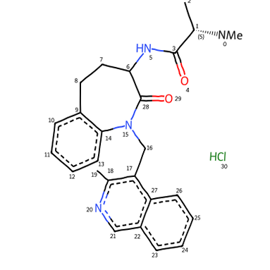 CN[C@@H](C)C(=O)NC1CCc2ccccc2N(Cc2c(C)ncc3ccccc23)C1=O.Cl